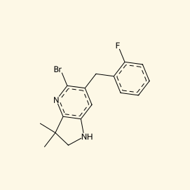 CC1(C)CNc2cc(Cc3ccccc3F)c(Br)nc21